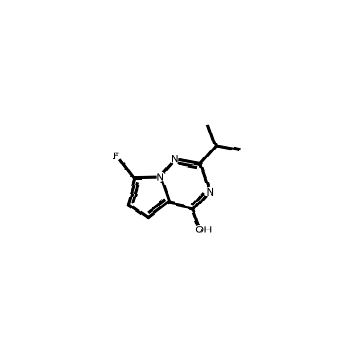 CC(C)c1nc(O)c2ccc(F)n2n1